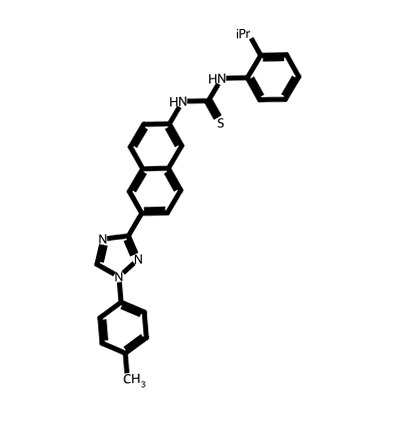 Cc1ccc(-n2cnc(-c3ccc4cc(NC(=S)Nc5ccccc5C(C)C)ccc4c3)n2)cc1